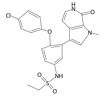 CCS(=O)(=O)Nc1ccc(Oc2ccc(Cl)cc2)c(-c2cn(C)c3c(=O)[nH]ccc23)c1